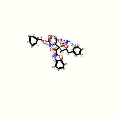 CC(C)CC(NC(=O)OCc1ccccc1)[C@@](CCCc1ccccc1)(C(=O)c1nc2ccccc2o1)S(N)(=O)=O